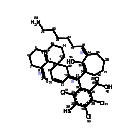 C/C=C1/CCC[N+]2=C1C1(CC=C/C(=C(C3=C(O)/C(=C\CCCCCN)CCCC3)\c3c(Cl)c(S)c(Cl)c(Cl)c3C(=O)O)C1)CCC2